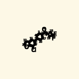 O=C(c1ccc(-c2cc(Cl)c3occc3c2)cc1)N1CC(F)(F)C1